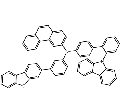 c1cc(-c2ccc3c(c2)oc2ccccc23)cc(N(c2ccc(-c3ccccc3-n3c4ccccc4c4ccccc43)cc2)c2ccc3ccc4ccccc4c3c2)c1